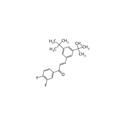 CC(C)(C)c1cc(C=CC(=O)c2ccc(F)c(F)c2)cc(C(C)(C)C)c1